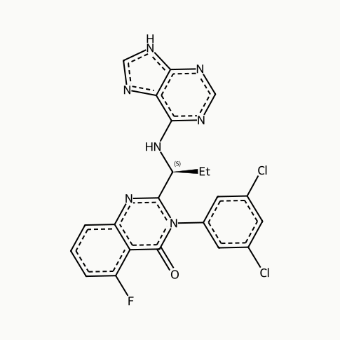 CC[C@H](Nc1ncnc2[nH]cnc12)c1nc2cccc(F)c2c(=O)n1-c1cc(Cl)cc(Cl)c1